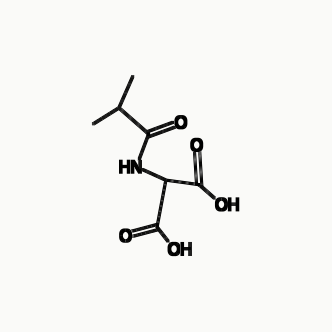 CC(C)C(=O)NC(C(=O)O)C(=O)O